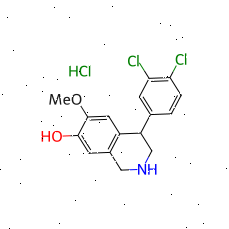 COc1cc2c(cc1O)CNCC2c1ccc(Cl)c(Cl)c1.Cl